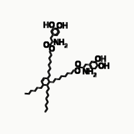 CCCCCCCCC1C(CCCCCC)C=CC(CCCCCCCCOC(=O)C(N)Cc2ccc(O)c(O)c2)C1CCCCCCCCOC(=O)C(N)CC1=CCC(O)C(O)=C1